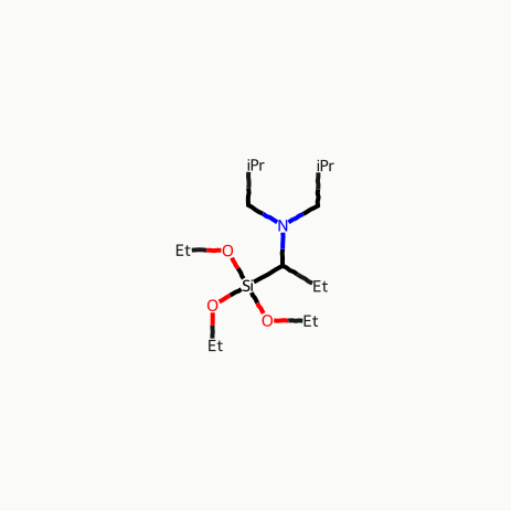 CCO[Si](OCC)(OCC)C(CC)N(CC(C)C)CC(C)C